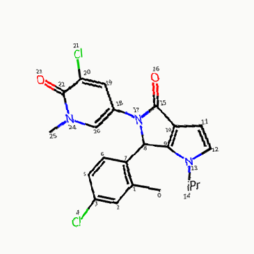 Cc1cc(Cl)ccc1C1c2c(ccn2C(C)C)C(=O)N1c1cc(Cl)c(=O)n(C)c1